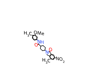 COc1cc(NC(=O)C2CCC(N3Cc4c(C)cc([N+](=O)[O-])cc4C3=O)CC2)ccc1C